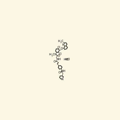 Cc1ccc2cccc(OCc3c(Cl)ccc(N(C)C(=O)CNC(=O)/C=C/c4ccc(NC(=O)Cc5cccnc5)cc4)c3Cl)c2n1.Cl.Cl